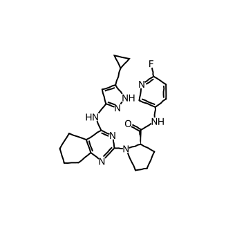 O=C(Nc1ccc(F)nc1)[C@H]1CCCN1c1nc2c(c(Nc3cc(C4CC4)[nH]n3)n1)CCCC2